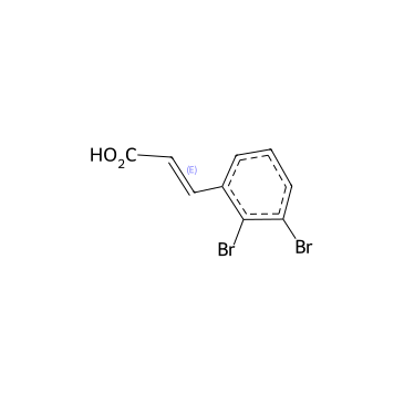 O=C(O)/C=C/c1cccc(Br)c1Br